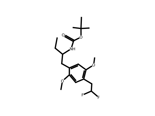 CCC(Cc1cc(OC)c(CC(F)F)cc1OC)NC(=O)OC(C)(C)C